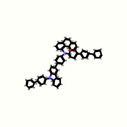 c1ccc(-c2ccc(-c3ccc(N(c4ccc(-c5ccc6c(c5)c5ccccc5n6-c5ccc(-c6ccccc6)cc5)cc4)c4cccc5ccc6ccccc6c45)cc3)cc2)cc1